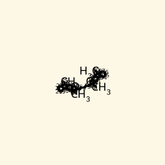 CN1/C(=C/C=C/C=C/c2oc3cc4c(cc3[n+]2C)c2ccccc2n4C)Oc2cc3c(cc21)c1ccccc1n3C